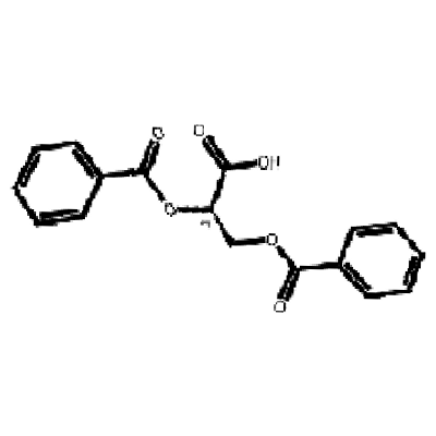 O=C(OC[C@@H](OC(=O)c1ccccc1)C(=O)O)c1ccccc1